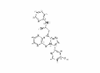 O=C(CSc1nnc(-c2ccnc(F)c2)n1Cc1ccccc1)Nc1ccccc1